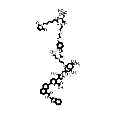 COCCN(CCOC12CC(C)(C)CC(C)(CC(C)(Cn3ncc(-c4ccc(-c5ccc6cccc(C(=O)Nc7nc8ccccc8s7)c6c5)nc4C(=O)O)c3C)C1)C2)C(=O)OCc1ccc(OCCOCCNC(=O)[C@H](CS(=O)(=O)O)NC(=O)CCCCCN2C(=O)C=CC2=O)cc1O